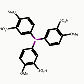 COc1ccc(P(c2ccc(OC)c(S(=O)(=O)O)c2)c2ccc(OC)c(S(=O)(=O)O)c2)cc1S(=O)(=O)O